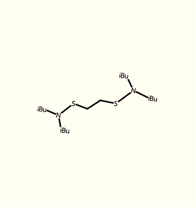 CCC(C)N(SCCSN(C(C)CC)C(C)CC)C(C)CC